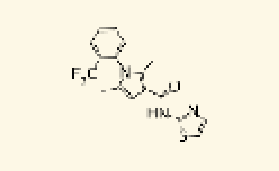 Cc1cc(C(=O)Nc2nccs2)c(C)n1-c1ccccc1C(F)(F)F